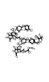 CC(C)(C)OC(=O)NCCCC1(CS(=O)(=O)N2CCC(Oc3ccc(Cl)cn3)CC2)NC(=O)NC1=O.NCCCC1(CS(=O)(=O)N2CCC(Oc3ccc(Cl)cn3)CC2)NC(=O)NC1=O.O=C(O)C(F)(F)F